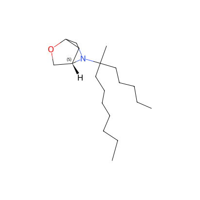 CCCCCCCC(C)(CCCCC)N1CC2C[C@H]1CO2